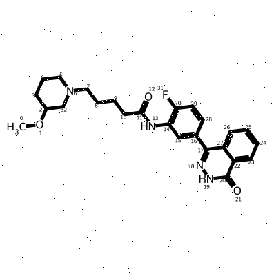 COC1CCCN(CCCCC(=O)Nc2cc(-c3n[nH]c(=O)c4ccccc34)ccc2F)C1